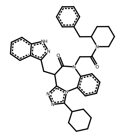 O=C1C(Cc2n[nH]c3ccccc23)c2nnc(C3CCCCC3)n2-c2ccccc2N1CC(=O)N1CCCCC1Cc1ccccc1